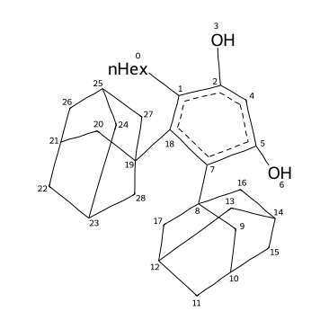 CCCCCCc1c(O)cc(O)c(C23CC4CC(CC(C4)C2)C3)c1C12CC3CC(CC(C3)C1)C2